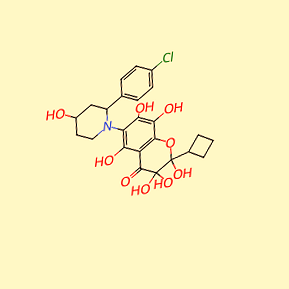 O=C1c2c(O)c(N3CCC(O)CC3c3ccc(Cl)cc3)c(O)c(O)c2OC(O)(C2CCC2)C1(O)O